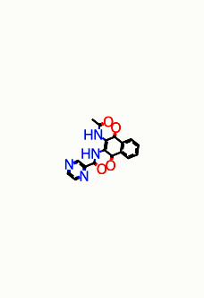 CC(=O)NC1=C(NC(=O)c2cnccn2)C(=O)c2ccccc2C1=O